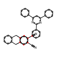 N#Cc1ccc2c(c1)C1c3ccccc3C2c2cc(C#N)c(-c3cccc(-c4nc(-c5ccccc5)cc(-c5ccccc5)n4)c3)cc21